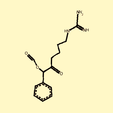 N=C(N)NCCCCC(=O)C(O[C]=O)c1ccccc1